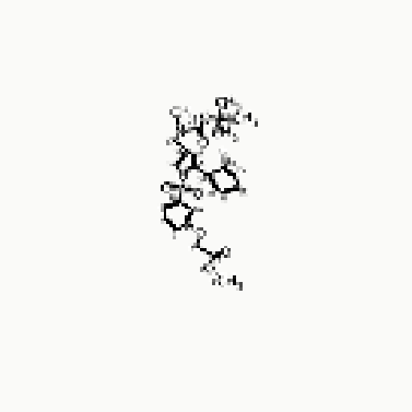 COC(=O)COc1cccc(S(=O)(=O)n2cc(CN(C)C(=O)OC(C)(C)C)cc2-c2ccccc2F)c1